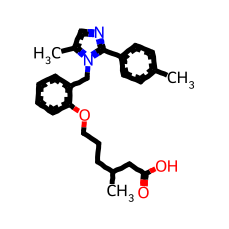 Cc1ccc(-c2ncc(C)n2Cc2ccccc2OCCCC(C)CC(=O)O)cc1